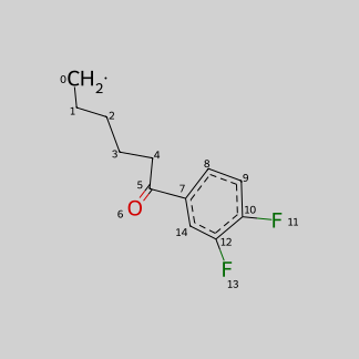 [CH2]CCCCC(=O)c1ccc(F)c(F)c1